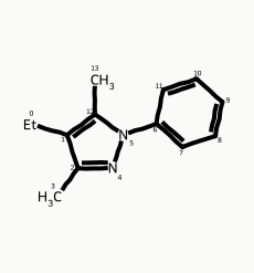 CCc1c(C)nn(-c2ccccc2)c1C